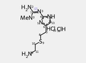 CN/C(N)=N\c1nc(CCSCCN)c[nH]1.Cl.Cl